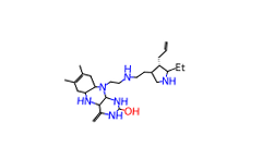 C=CC[C@H]1C(CCNCCN2C3CC(C)=C(C)CC3NC3C(=C)NC(O)NC32)CNC1CC